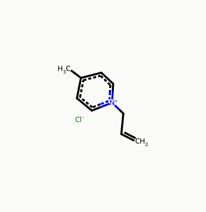 C=CC[n+]1ccc(C)cc1.[Cl-]